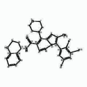 Cc1cc2c(N3CCOCC3)c(C(=O)N[C@H]3CCOc4ccccc43)cnn2c1-c1cc(F)cc(F)c1F